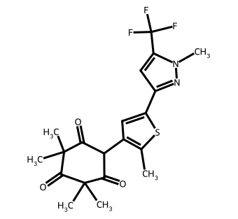 Cc1sc(-c2cc(C(F)(F)F)n(C)n2)cc1C1C(=O)C(C)(C)C(=O)C(C)(C)C1=O